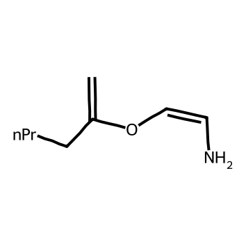 C=C(CCCC)O/C=C\N